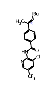 C/C(=C\C(C)(C)C)c1ccc(C(=O)Nc2ncc(C(F)(F)F)cc2Cl)cc1